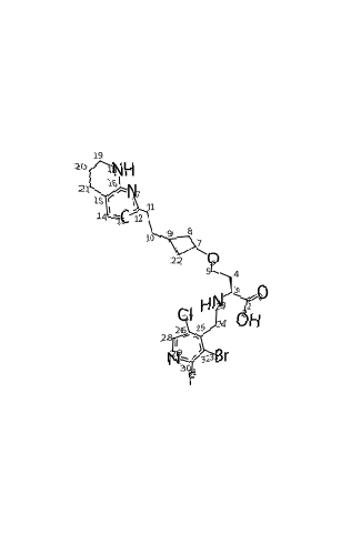 O=C(O)[C@H](CCOC1CC(CCc2ccc3c(n2)NCCC3)C1)NCc1c(Cl)cnc(F)c1Br